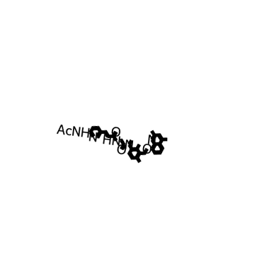 CC(=O)Nc1ccc(C=CC(=O)NCC(=O)N(C)c2ccc(C)c(COc3cccc4c(C)cc(C)nc34)c2C)cn1